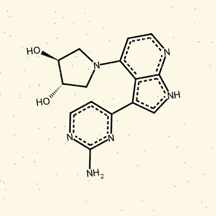 Nc1nccc(-c2c[nH]c3nccc(N4C[C@H](O)[C@@H](O)C4)c23)n1